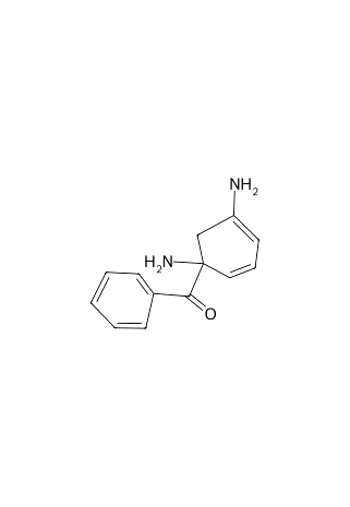 NC1=CC=CC(N)(C(=O)c2ccccc2)C1